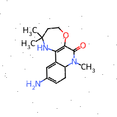 CN1C(=O)C2=C(NC(C)(C)CCO2)C2=CC(N)=CCC21